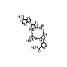 NC(=O)c1cc([C@@H]2C[C@@H]3CO[PH](=O)O[C@H]4[C@H](F)[C@H](n5cnc6c(N)ncnc65)O[C@@H]4COP(=O)(SS)OC[C@H]32)ccn1